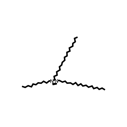 CCCCCCCCCCCCCCCCCCC1N(CCCCCCCCCCC)C=CN1CCCCCCCCCCCCCCCCCC